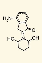 Nc1cccc2c1CN(N1C(O)CCCC1O)C2=O